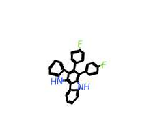 Fc1ccc(-c2c(-c3ccc(F)cc3)c3c4ccccc4[nH]c3c3c2[nH]c2ccccc23)cc1